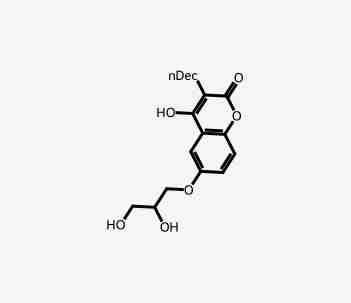 CCCCCCCCCCc1c(O)c2cc(OCC(O)CO)ccc2oc1=O